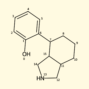 Oc1ccccc1C1CCCC2CNCC21